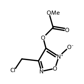 COC(=O)Oc1c(CCl)no[n+]1[O-]